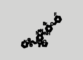 CC(NCCS(=O)(=O)c1ccccn1)C1(c2cc3c(Nc4ccc(OCc5cccc(F)c5)c(Br)c4)ncnc3cn2)CC=CO1